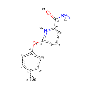 CC(C)(C)c1ccc(Oc2cc[c]c(C(N)=O)n2)cc1